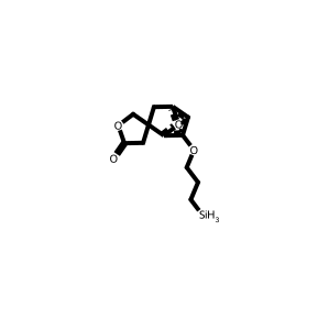 O=C1CC2(CO1)Cc1cc(OCCC[SiH3])c2o1